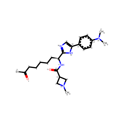 CCC(=O)CCCCC[C@H](NC(=O)C1CN(C)C1)C1=[N+]C=C(c2ccc(N(C)C)cc2)N1